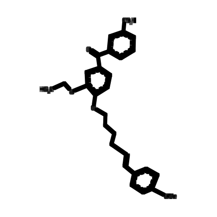 COc1ccc(/C=C/CCCCOc2ccc(C(=O)c3cccc(C(=O)O)c3)cc2OCC(=O)O)cc1